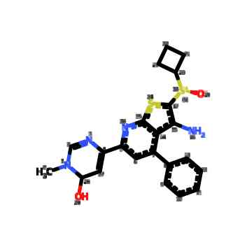 CN1C=NC(c2cc(-c3ccccc3)c3c(N)c([S@+]([O-])C4CCC4)sc3n2)=CC1O